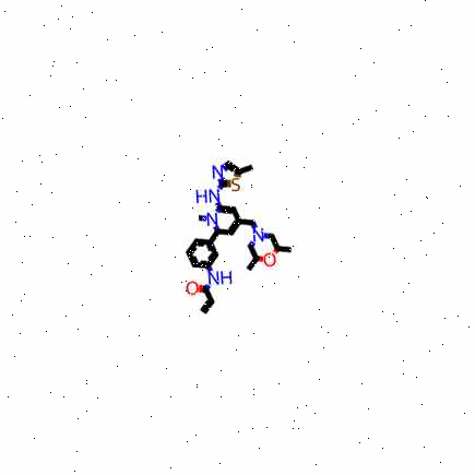 C=CC(=O)Nc1cccc(C2C=C(CN3CC(C)OC(C)C3)C=C(Nc3ncc(C)s3)N2C)c1